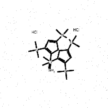 C[Si](C)(C)C1=CC([Si](C)(C)C)=[C]([Ti]([CH3])([CH3])(=[SiH2])[C]2=C([Si](C)(C)C)C=C([Si](C)(C)C)C2)C1.Cl.Cl